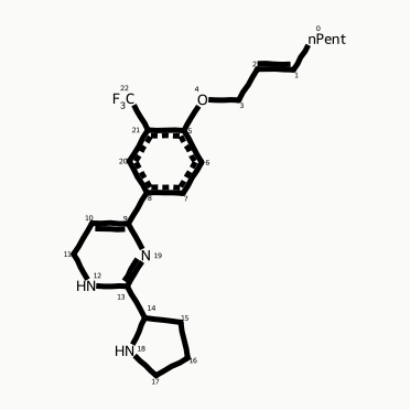 CCCCC/C=C/COc1ccc(C2=CCNC(C3CCCN3)=N2)cc1C(F)(F)F